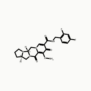 NOc1c2n(cc(C(=O)NCc3ccc(F)cc3F)c1=O)C[C@@H]1N(C[C@H]3CCCN31)C2=O